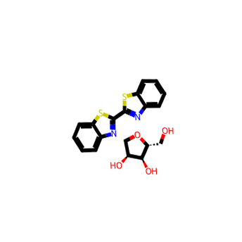 OC[C@H]1OC[C@H](O)[C@@H]1O.c1ccc2sc(-c3nc4ccccc4s3)nc2c1